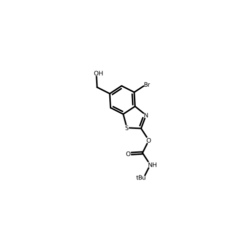 CC(C)(C)NC(=O)Oc1nc2c(Br)cc(CO)cc2s1